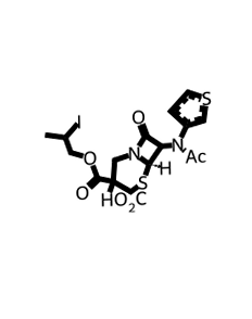 CC(=O)N(c1ccsc1)C1C(=O)N2CC(C(=O)O)(C(=O)OCC(C)I)CS[C@H]12